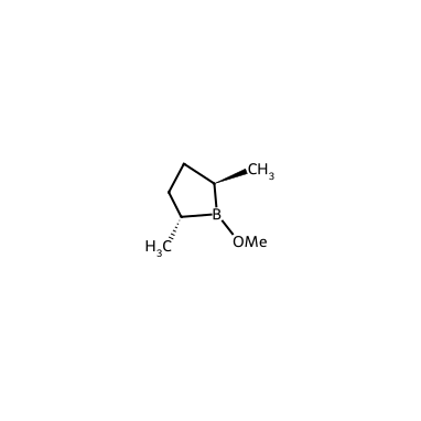 COB1[C@H](C)CC[C@H]1C